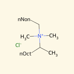 CCCCCCCCCC[N+](C)(C)C(C)CCCCCCCC.[Cl-]